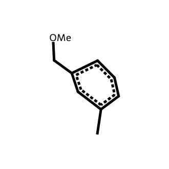 [CH2-][OH+]Cc1cccc(C)c1